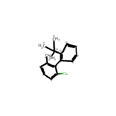 Cc1cccc(Cl)c1-c1ccc[c]c1C(C)(C)C